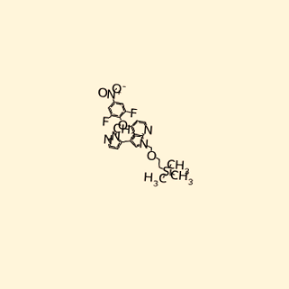 Cn1nccc1-c1cn(COCC[Si](C)(C)C)c2nccc(Oc3c(F)cc([N+](=O)[O-])cc3F)c12